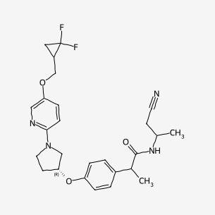 CC(CC#N)NC(=O)C(C)c1ccc(O[C@@H]2CCN(c3ccc(OCC4CC4(F)F)cn3)C2)cc1